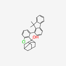 CC1(C)c2ccccc2-c2cccc(-c3cccc(Cl)c3C3(O)C4CC5CC(C4)CC3C5)c21